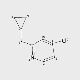 Clc1ccnc(CC2CC2)c1